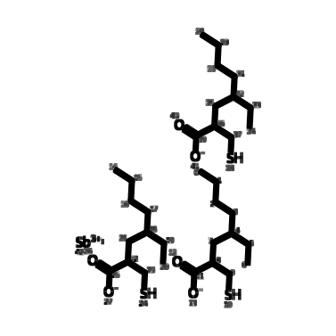 CCCCC(CC)CC(CS)C(=O)[O-].CCCCC(CC)CC(CS)C(=O)[O-].CCCCC(CC)CC(CS)C(=O)[O-].[Sb+3]